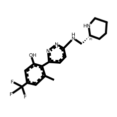 Cc1cc(C(F)(F)F)cc(O)c1-c1ccc(NC[C@H]2CCCCN2)nn1